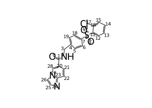 O=C(NCc1ccc(S(=O)(=O)c2ccccc2Cl)cc1)c1ccc2nccn2c1